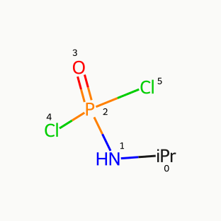 CC(C)NP(=O)(Cl)Cl